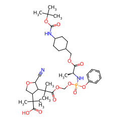 C[C@H](NP(=O)(OCOC(=O)C(C)(C)C1C(C#N)OCC1C(C)(C)C(=O)O)Oc1ccccc1)C(=O)OCC1CCC(NC(=O)OC(C)(C)C)CC1